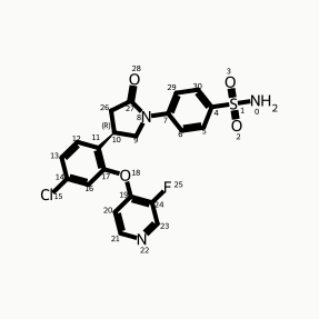 NS(=O)(=O)c1ccc(N2C[C@@H](c3ccc(Cl)cc3Oc3ccncc3F)CC2=O)cc1